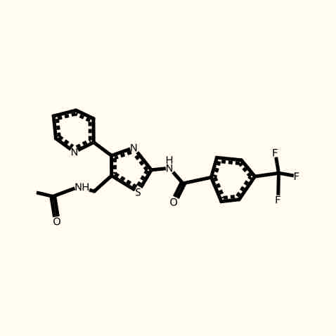 CC(=O)NCc1sc(NC(=O)c2ccc(C(F)(F)F)cc2)nc1-c1ccccn1